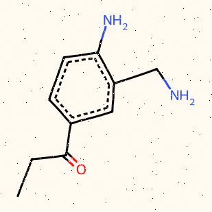 CCC(=O)c1ccc(N)c(CN)c1